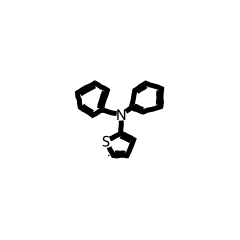 [c]1ccc(N(c2ccccc2)c2ccccc2)s1